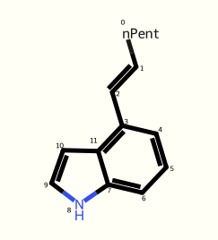 CCCCCC=Cc1cccc2[nH]ccc12